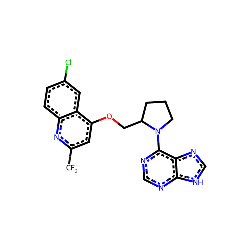 FC(F)(F)c1cc(OCC2CCCN2c2ncnc3[nH]cnc23)c2cc(Cl)ccc2n1